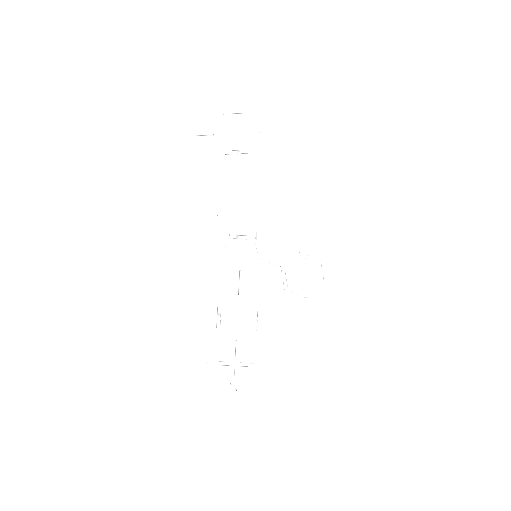 NS(=O)(=O)c1ccc(-c2oc(CCOc3ccccc3F)nc2-c2ccccc2)cc1